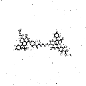 C=CC(=O)N1[C@H](C)CN(c2nc(=O)n3c4c(c(-c5ccc(F)cc5)c(C(F)(F)F)cc24)SCC3COCC/C=C/C(=O)N2[C@H](C)CN(c3nc(=O)n4c5c(c(-c6ccc(F)cc6)c(C(F)(F)F)cc35)SCC4COC3CC3)C[C@@H]2C)C[C@@H]1C